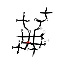 CC(C)(C)OC(=O)NCC(C(=O)O)(C(OCC(F)(F)F)(C(F)(F)F)C(F)(F)F)C(OCC(F)(F)F)(C(F)(F)F)C(F)(F)F